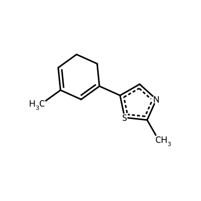 CC1=CCCC(c2cnc(C)s2)=C1